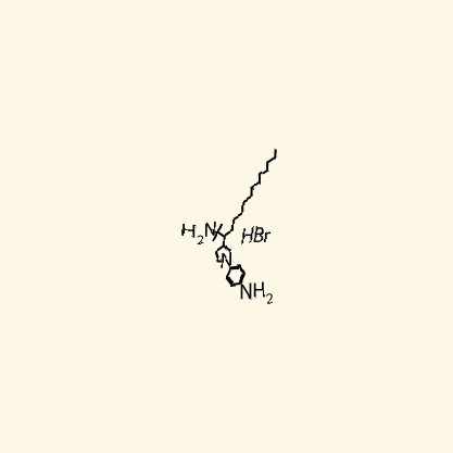 Br.CCCCCCCCCCCCC(C1CCN(c2ccc(N)cc2)C1)C(C)(C)N